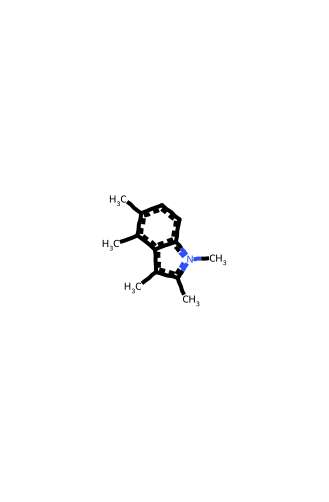 Cc1ccc2c(c1C)c(C)c(C)n2C